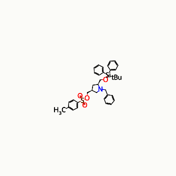 Cc1ccc(S(=O)(=O)OC[C@H]2C[C@@H](CO[Si](c3ccccc3)(c3ccccc3)C(C)(C)C)N(Cc3ccccc3)C2)cc1